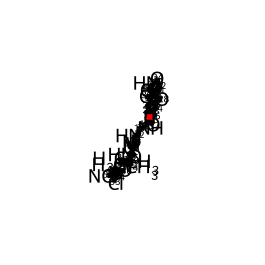 CC1(C)[C@H](NC(=O)c2ccc(NCCNCC(=O)N3Cc4cc5c(cc4C3)C(=O)N(C3CCC(=O)NC3=O)C5=O)nn2)C(C)(C)[C@H]1Oc1ccc(C#N)c(Cl)c1